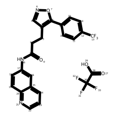 O=C(CCc1cnoc1-c1ccc(C(F)(F)F)cc1)Nc1ccc2ncccc2c1.O=C(O)C(F)(F)F